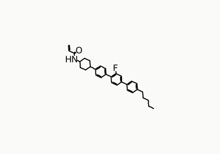 C=CC(=O)NC1CCC(c2ccc(-c3ccc(-c4ccc(CCCCC)cc4)cc3F)cc2)CC1